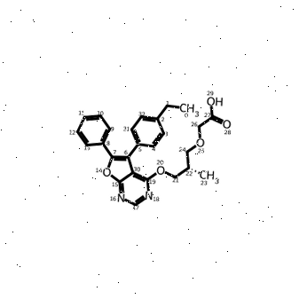 CCc1ccc(-c2c(-c3ccccc3)oc3ncnc(OC[C@@H](C)COCC(=O)O)c23)cc1